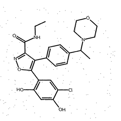 CCNC(=O)c1noc(-c2cc(Cl)c(O)cc2O)c1-c1ccc(C(C)N2CCOCC2)cc1